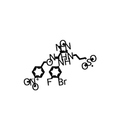 CS(=O)(=O)CCCNc1nonc1/C(=N/OCc1ccc([N+](=O)[O-])cc1)Nc1ccc(F)c(Br)c1